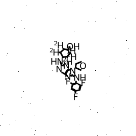 [2H]C1C([2H])C(O)C([2H])([2H])C([2H])C1Nc1ncc2nc(Nc3c(F)cc(F)cc3F)n(C3CCOC3)c2n1